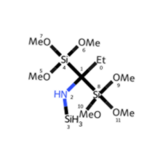 CCC(N[SiH3])([Si](OC)(OC)OC)[Si](OC)(OC)OC